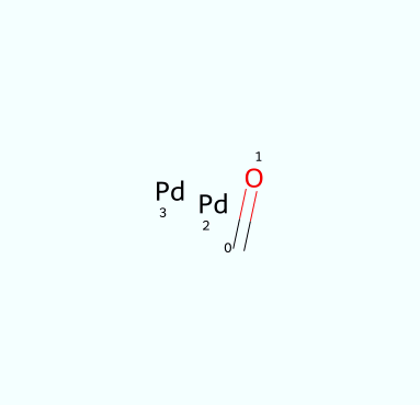 C=O.[Pd].[Pd]